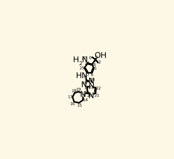 CC(C)(O)c1ccc(Nc2nc3c(N4CCCCCC4)nccn3n2)cc1N